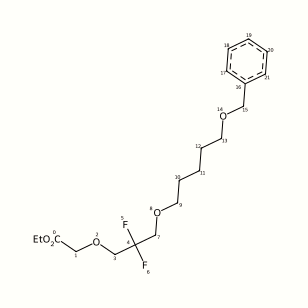 CCOC(=O)COCC(F)(F)COCCCCCOCc1ccccc1